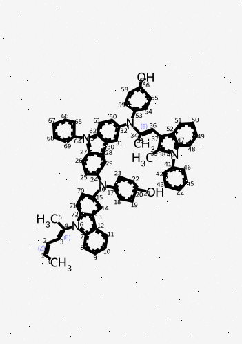 C/C=C\C=C(/C)n1c2ccccc2c2cc(N(c3ccc(O)cc3)c3ccc4c(c3)c3cc(N(/C(C)=C/c5c(C)n(-c6ccccc6)c6ccccc56)c5ccc(O)cc5)ccc3n4-c3ccccc3)ccc21